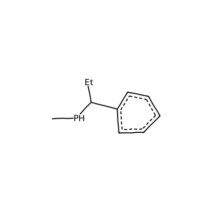 CCC(PC)c1ccccc1